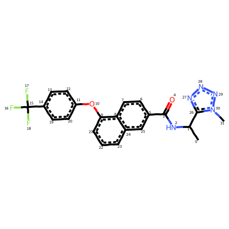 CC(NC(=O)c1ccc2c(Oc3ccc(C(F)(F)F)cc3)cccc2c1)c1nnnn1C